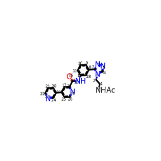 CC(=O)NCCn1cnnc1-c1cccc(NC(=O)c2cc(-c3cccnc3)ccn2)c1